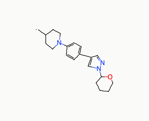 [CH2]C1CCN(c2ccc(-c3cnn(C4CCCCO4)c3)cc2)CC1